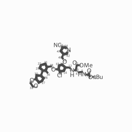 COC(=O)[C@H](CCNC(=O)OC(C)(C)C)NCc1cc(Cl)c(OCc2cccc(-c3ccc4c(c3)OCCO4)c2C)cc1OCc1cncc(C#N)c1